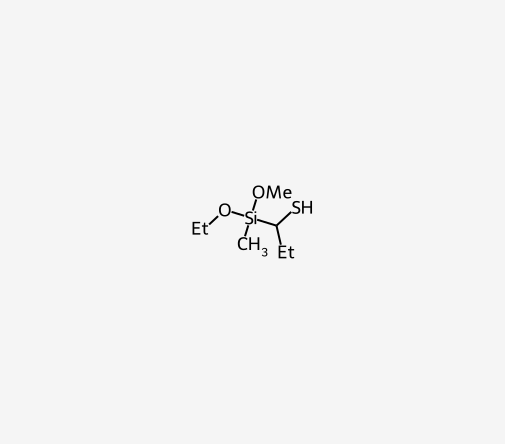 CCO[Si](C)(OC)C(S)CC